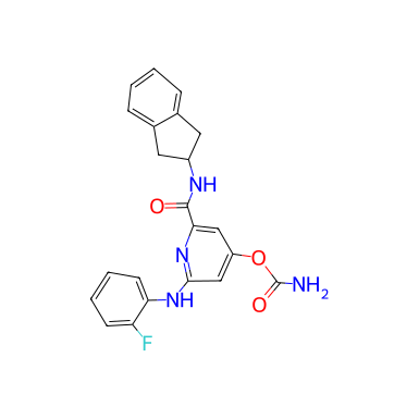 NC(=O)Oc1cc(Nc2ccccc2F)nc(C(=O)NC2Cc3ccccc3C2)c1